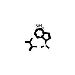 C=C(C)C(=C)C.[CH3][Ti]([CH3])[CH]1C=Cc2ccccc21.[SiH4]